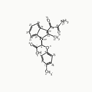 [CH2]c1ccc(OC(C(=O)O)n2c(C)c(C(=O)C(N)=O)c3cccnc32)cc1